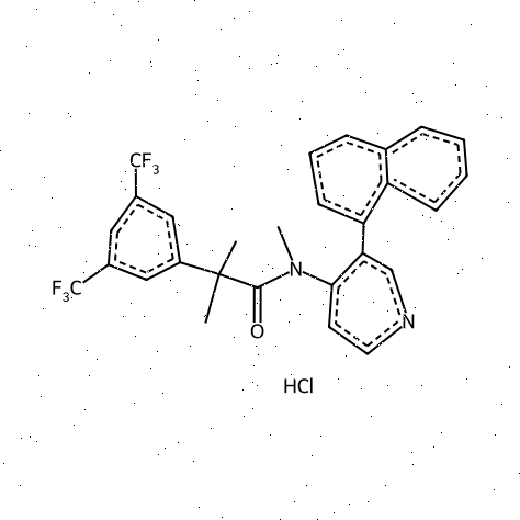 CN(C(=O)C(C)(C)c1cc(C(F)(F)F)cc(C(F)(F)F)c1)c1ccncc1-c1cccc2ccccc12.Cl